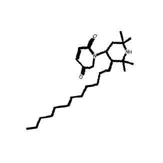 CCCCCCCCCCCCC1C(N2CC(=O)C=CC2=O)CC(C)(C)NC1(C)C